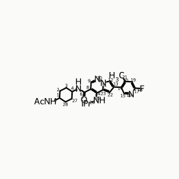 CC(=O)NC1CCC(NC(=O)c2cnn3cc(-c4cnc(F)cc4C)cc3c2NC(C)C)CC1